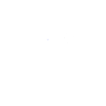 CC1(C)OB(c2cc(-c3ccccc3)cc3c2NC2CCCCC32)OC1(C)C